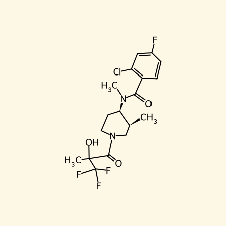 C[C@H]1CN(C(=O)C(C)(O)C(F)(F)F)CC[C@H]1N(C)C(=O)c1ccc(F)cc1Cl